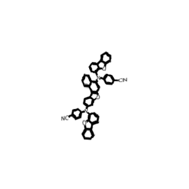 N#Cc1ccc(N(c2ccc3c(c2)oc2cc(N(c4ccc(C#N)cc4)c4cccc5c4oc4ccccc45)c4ccccc4c23)c2cccc3c2oc2ccccc23)cc1